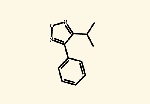 CC(C)c1nonc1-c1ccccc1